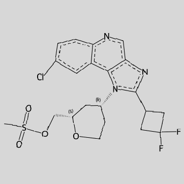 CS(=O)(=O)OC[C@@H]1C[C@H](n2c(C3CC(F)(F)C3)nc3cnc4ccc(Cl)cc4c32)CCO1